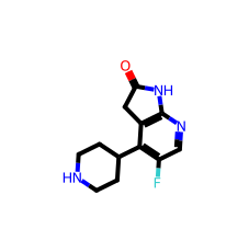 O=C1Cc2c(ncc(F)c2C2CCNCC2)N1